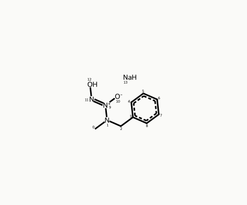 CN(Cc1ccccc1)[N+]([O-])=NO.[NaH]